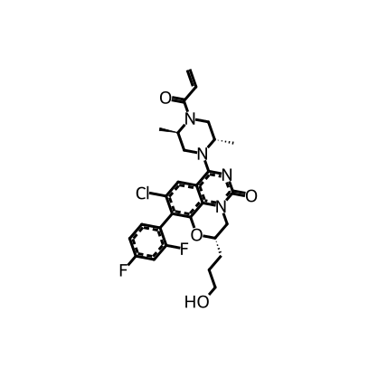 C=CC(=O)N1C[C@H](C)N(c2nc(=O)n3c4c(c(-c5ccc(F)cc5F)c(Cl)cc24)O[C@@H](CCCO)C3)C[C@H]1C